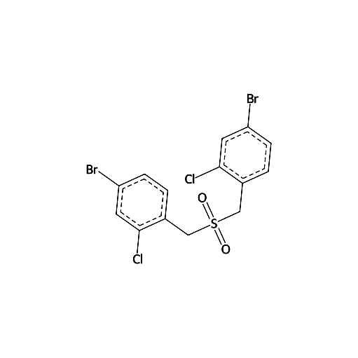 O=S(=O)(Cc1ccc(Br)cc1Cl)Cc1ccc(Br)cc1Cl